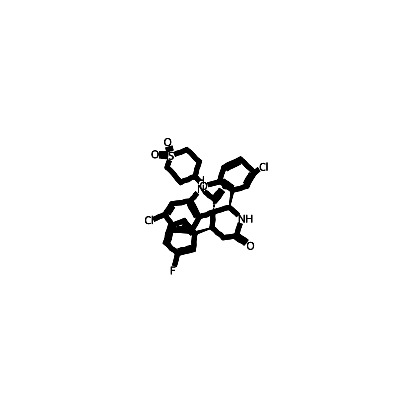 O=C1C[C@@H](c2cccc(F)c2)[C@]2(C(=O)Nc3cc(Cl)ccc32)[C@@H](c2cc(Cl)ccc2OC2CCS(=O)(=O)CC2)N1